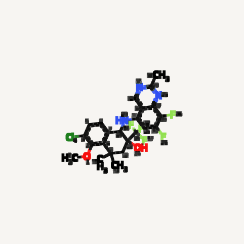 COc1c(Cl)ccc2c1C(C)(C)CC(O)(C(F)(F)F)C2Nc1cc(F)c(F)c2nc(C)ncc12